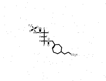 O=C(O)CCC1CCC=C(CS(=O)(=O)C(F)(F)C(F)(F)C(F)(F)S(=O)(=O)NS(=O)(=O)C(F)(F)F)CC1